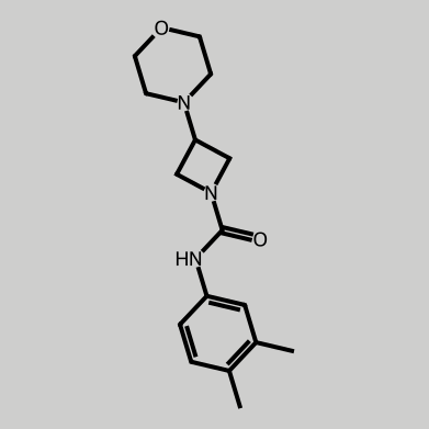 Cc1ccc(NC(=O)N2CC(N3CCOCC3)C2)cc1C